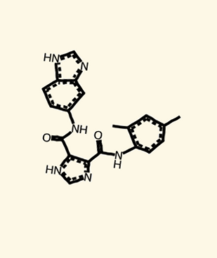 Cc1ccc(NC(=O)c2nc[nH]c2C(=O)Nc2ccc3[nH]cnc3c2)c(C)c1